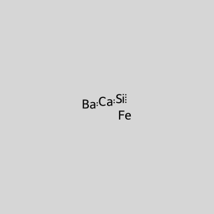 [Ba].[Ca].[Fe].[Si]